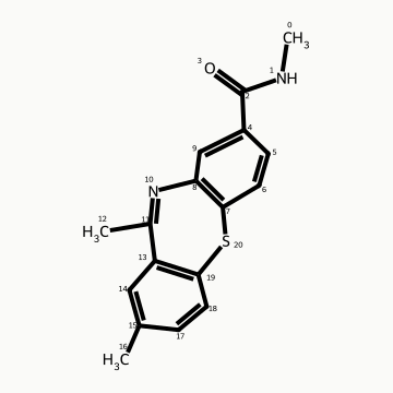 CNC(=O)c1ccc2c(c1)N=C(C)c1cc(C)ccc1S2